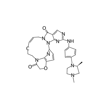 C[C@H]1CN(C)CCN1c1ccc(Nc2ncc3c(=O)n4n(c3n2)-c2ccc3c(n2)N(CCC/C=C\C4)C(=O)CO3)cc1